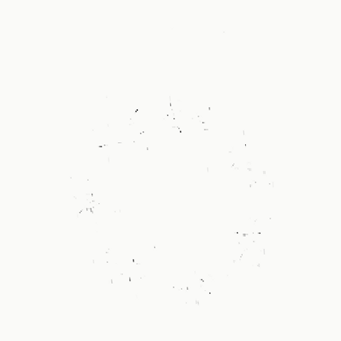 CCC(OC(CC)S(=O)(=O)O)S(=O)(=O)O.OC[C@H]1O[C@@H]2O[C@H]3[C@H](O)[C@@H](O)[C@@H](O[C@H]4[C@H](O)[C@@H](O)[C@@H](O[C@H]5[C@H](O)[C@@H](O)[C@@H](O[C@H]6[C@H](O)[C@@H](O)[C@@H](O[C@H]7[C@H](O)[C@@H](O)[C@@H](O[C@H]8[C@H](O)[C@@H](O)[C@@H](O[C@H]1[C@H](O)[C@H]2O)O[C@@H]8CO)O[C@@H]7CO)O[C@@H]6CO)O[C@@H]5CO)O[C@@H]4CO)O[C@@H]3CO